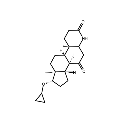 C[C@]12CC[C@H]3[C@@H](C(=O)CC4NC(=O)CC[C@@]43C)[C@@H]1CC[C@@H]2OC1CC1